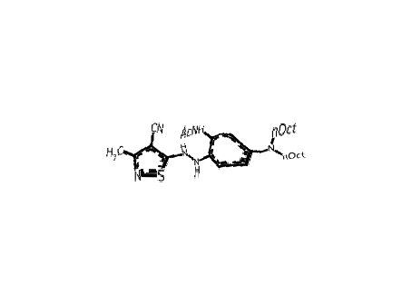 CCCCCCCCN(CCCCCCCC)c1ccc(NNc2snc(C)c2C#N)c(NC(C)=O)c1